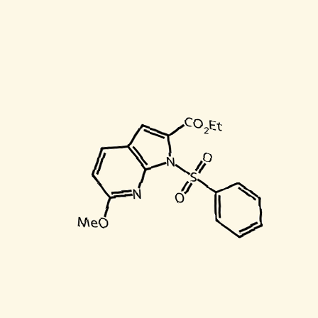 CCOC(=O)c1cc2ccc(OC)nc2n1S(=O)(=O)c1ccccc1